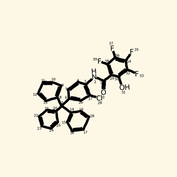 O=C(Nc1ccc(C(c2ccccc2)(c2ccccc2)c2ccccc2)cc1Cl)c1c(O)c(F)c(F)c(F)c1F